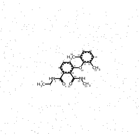 CCNC(=O)c1cccc(Oc2c(C)cccc2C)c1C(=O)NC